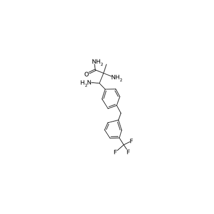 CC(N)(C(N)=O)C(N)c1ccc(Cc2cccc(C(F)(F)F)c2)cc1